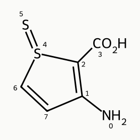 NC1=C(C(=O)O)S(=S)C=C1